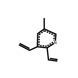 C=Cc1cc(C)cnc1C=C